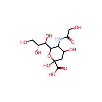 O=C(CO)NC1C(O)CC(O)(C(=O)O)OC1[C@H](O)[C@H](O)CO